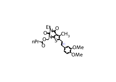 CCCC(=O)OCn1c(=O)n(CC)c(=O)c2c(C)c(/C=C/c3ccc(OC)c(OC)c3)sc21